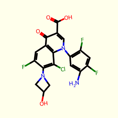 Nc1cc(-n2cc(C(=O)O)c(=O)c3cc(F)c(N4CC(O)C4)c(Cl)c32)c(F)cc1F